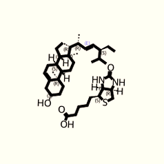 CC[C@H](/C=C/[C@@H](C)[C@H]1CC[C@H]2[C@@H]3CC=C4C[C@@H](O)CC[C@]4(C)[C@H]3CC[C@]12C)C(C)C.O=C(O)CCCC[C@@H]1SC[C@@H]2NC(=O)N[C@@H]21